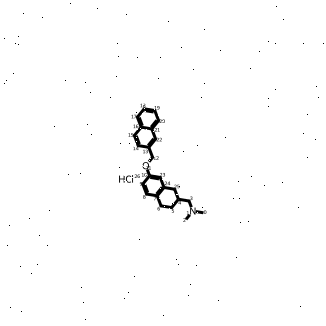 CN(C)CC1CCc2ccc(OCc3ccc4ccccc4c3)cc2C1.Cl